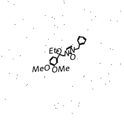 CCOC(Cn1ccn(Cc2ccccc2)c1=O)c1ccc(OC)c(OC)c1